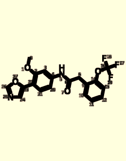 COc1cc(NC(=O)Cc2ccccc2OC(F)(F)F)ccc1-c1cnco1